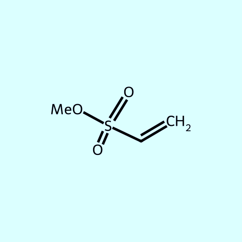 C=CS(=O)(=O)OC